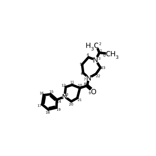 CC(C)N1CCCN(C(=O)C2CCN(c3ccccc3)CC2)CC1